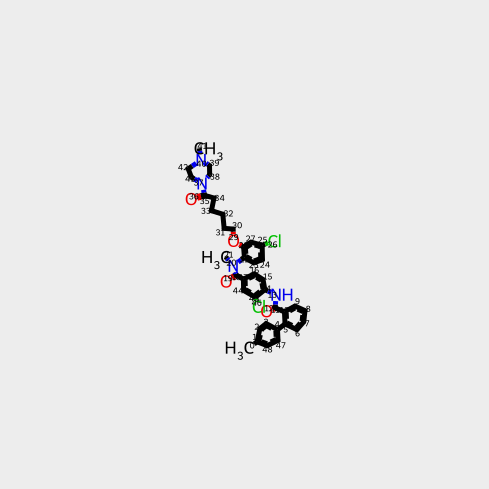 Cc1ccc(-c2ccccc2C(=O)Nc2ccc(C(=O)N(C)c3ccc(Cl)cc3OCCCCCC(=O)N3CCN(C)CC3)cc2Cl)cc1